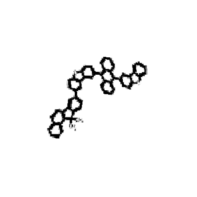 CC1(C)c2ccc(-c3ccc4oc5ccc(-c6c7ccccc7c(-c7ccc8oc9ccccc9c8c7)c7ccccc67)cc5c4c3)cc2-c2ccc3ccccc3c21